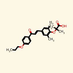 CCCOc1ccc(C(=O)/C=C/c2cc(C)c(OC(C)(C)C(=O)O)c(C)c2)cc1